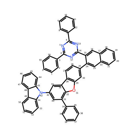 c1ccc(-c2nc(-c3ccccc3)nc(-c3cc4ccccc4cc3-c3ccc4c(c3)oc3c(-c5ccccc5)cc(-n5c6ccccc6c6ccccc65)cc34)n2)cc1